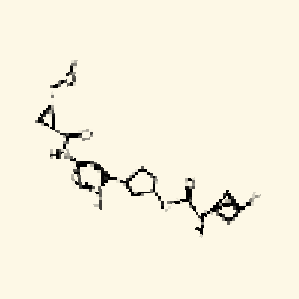 COC[C@H]1C[C@@H]1C(=O)Nc1cc([C@H]2CC[C@@H](OC(=O)NC34CC(F)(C3)C4)C2)[nH]n1